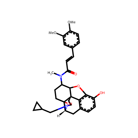 COc1ccc(/C=C/C(=O)N(C)C2CC[C@@]3(O)[C@H]4Cc5ccc(O)c6c5[C@@]3(CCN4CC3CC3)C2O6)cc1OC